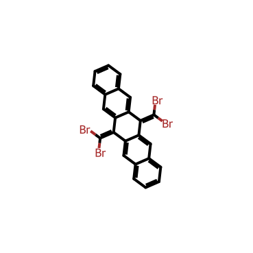 BrC(Br)=c1c2cc3ccccc3cc2c(=C(Br)Br)c2cc3ccccc3cc12